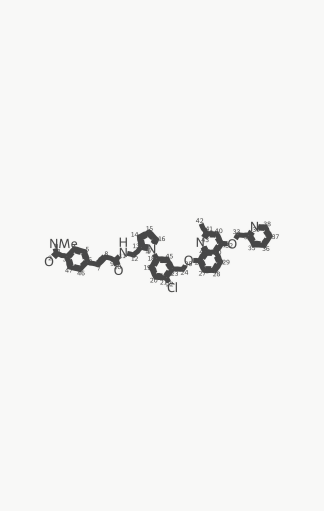 CNC(=O)c1ccc(C=CC(=O)NCc2cccn2-c2ccc(Cl)c(COc3cccc4c(OCc5ccccn5)cc(C)nc34)c2)cc1